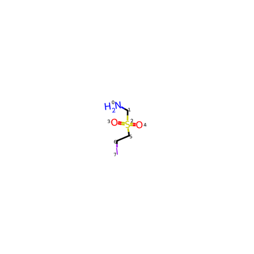 NCS(=O)(=O)CCI